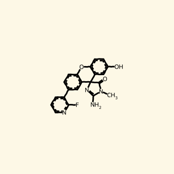 CN1C(=O)C2(N=C1N)c1cc(O)ccc1Oc1ccc(-c3cccnc3F)cc12